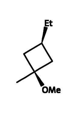 CC[C@H]1C[C@@](C)(OC)C1